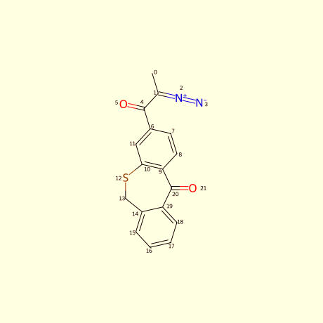 CC(=[N+]=[N-])C(=O)c1ccc2c(c1)SCc1ccccc1C2=O